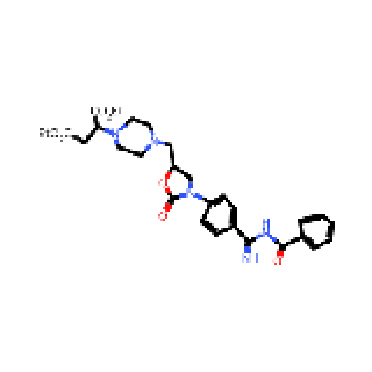 CCOC(=O)CC(C(=O)OCC)N1CCN(CC2CN(c3ccc(C(=N)NC(=O)c4ccccc4)cc3)C(=O)O2)CC1